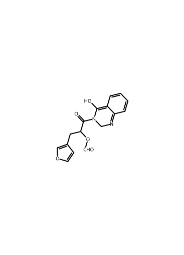 O=COC(Cc1ccoc1)C(=O)N1CN=c2ccccc2=C1O